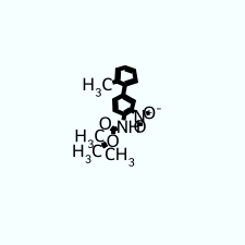 Cc1ccccc1-c1ccc(NC(=O)OC(C)(C)C)c([N+](=O)[O-])c1